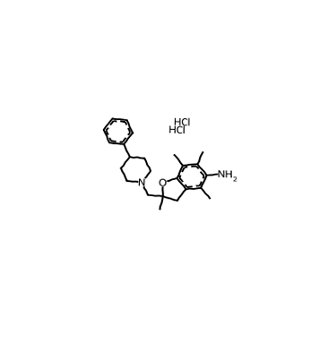 Cc1c(C)c2c(c(C)c1N)CC(C)(CN1CCC(c3ccccc3)CC1)O2.Cl.Cl